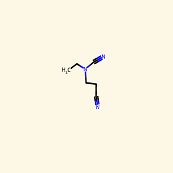 CCN(C#N)CCC#N